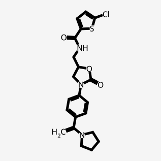 C=C(c1ccc(N2CC(CNC(=O)c3ccc(Cl)s3)OC2=O)cc1)N1CCCC1